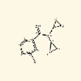 Cc1cccc(C(=O)N(C2CC2)C2CC2)c1